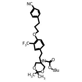 CC(C)(C)OC(=O)NC1(CCc2ccc(OCCCc3ccc(C#N)cc3)c(C(F)(F)F)c2)COC(C)(C)OC1